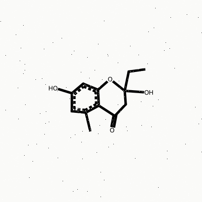 CCC1(O)CC(=O)c2c(C)cc(O)cc2O1